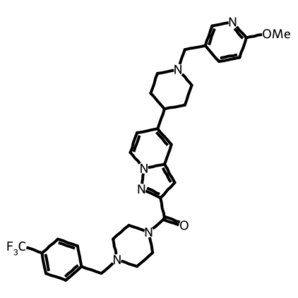 COc1ccc(CN2CCC(c3ccn4nc(C(=O)N5CCN(Cc6ccc(C(F)(F)F)cc6)CC5)cc4c3)CC2)cn1